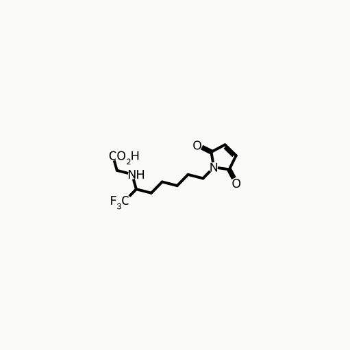 O=C(O)CNC(CCCCCN1C(=O)C=CC1=O)C(F)(F)F